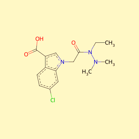 CCN(C(=O)Cn1cc(C(=O)O)c2ccc(Cl)cc21)N(C)C